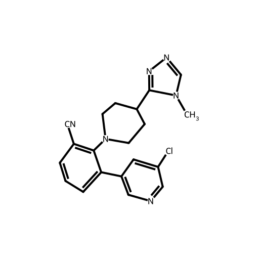 Cn1cnnc1C1CCN(c2c(C#N)cccc2-c2cncc(Cl)c2)CC1